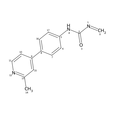 C=NC(=O)Nc1ccc(-c2ccnc(C)c2)cc1